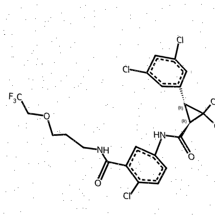 O=C(NCCCOCC(F)(F)F)c1cc(NC(=O)[C@H]2[C@H](c3cc(Cl)cc(Cl)c3)C2(Cl)Cl)ccc1Cl